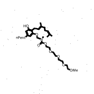 CCCCCc1cc(O)c(C/C=C(\C)CCC=C(C)C)c(OCN(C)C(=O)OCCOCCOCCOCCOC)c1